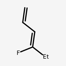 C=CC=C(F)CC